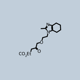 CCOC(=O)CC(=O)COCCn1c(C)nc2c1CCCC2